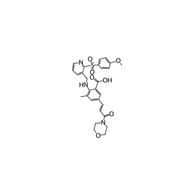 COc1ccc(S(=O)(=O)c2ncccc2CNc2c(C)cc(/C=C/C(=O)N3CCOCC3)cc2C(=O)O)cc1